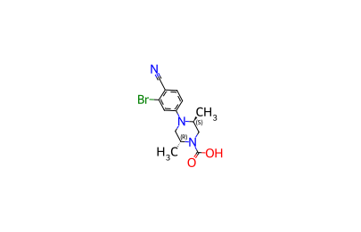 C[C@@H]1CN(c2ccc(C#N)c(Br)c2)[C@@H](C)CN1C(=O)O